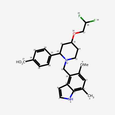 COc1cc(C)c2[nH]ccc2c1CN1CCC(OCC(F)F)CC1c1ccc(C(=O)O)cc1